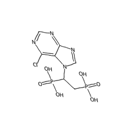 O=P(O)(O)CC(n1cnc2ncnc(Cl)c21)P(=O)(O)O